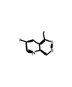 Cc1nncc2ncc(I)cc12